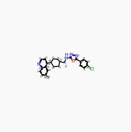 C[C@@H](Nc1nnc(-c2ccc(Cl)cc2)o1)C1CCC(c2ccnc3ccc(F)cc23)CC1